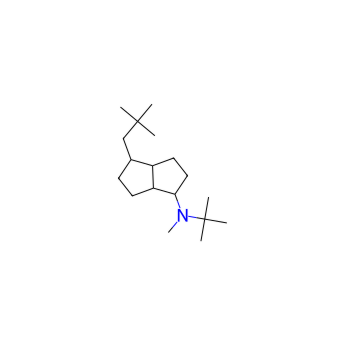 CN(C1CCC2C(CC(C)(C)C)CCC21)C(C)(C)C